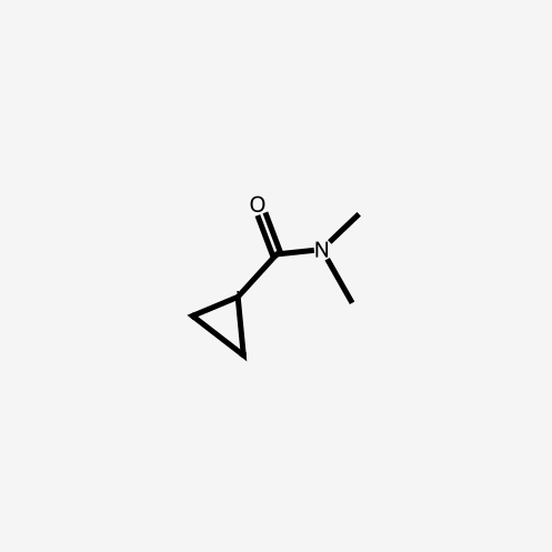 CN(C)C(=O)[C]1CC1